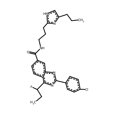 CCCc1c[nH]c(CCCNC(=O)c2ccc3c(C(F)CC)nc(-c4ccc(Cl)cc4)nc3c2)n1